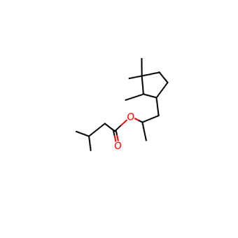 CC(C)CC(=O)OC(C)CC1CCC(C)(C)C1C